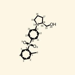 Cc1ccccc1S(=O)(=O)c1ccc(N2CCC[C@H]2CO)cc1